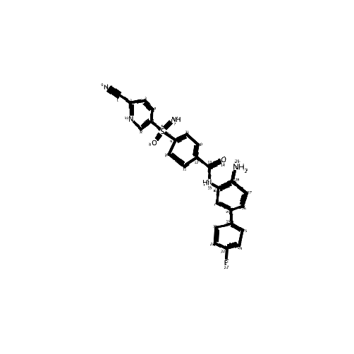 N#Cc1ccc(S(=N)(=O)c2ccc(C(=O)Nc3cc(-c4ccc(F)cc4)ccc3N)cc2)cn1